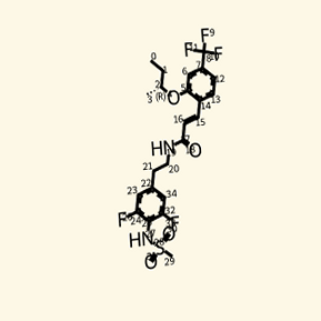 CC[C@@H](C)Oc1cc(C(F)(F)F)ccc1C=CC(=O)NCCc1cc(F)c(NS(C)(=O)=O)c(F)c1